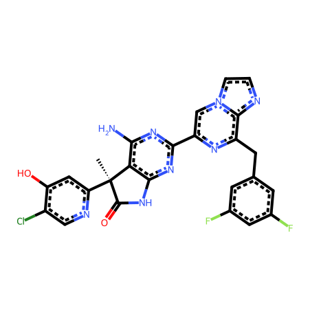 C[C@@]1(c2cc(O)c(Cl)cn2)C(=O)Nc2nc(-c3cn4ccnc4c(Cc4cc(F)cc(F)c4)n3)nc(N)c21